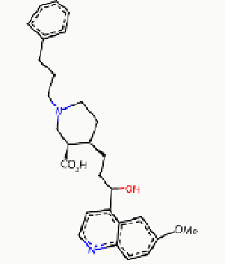 COc1ccc2nccc(C(O)CC[C@@H]3CCN(CCCc4ccccc4)C[C@@H]3C(=O)O)c2c1